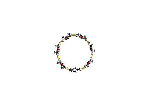 C1C[C@H]2CC[C@@H]1CSSC[C@@H]1CC[C@@H](CC1)CSSC[C@@H]1CC[C@@H](CC1)CSSC[C@@H]1CC[C@@H](CC1)CSSC[C@@H]1CC[C@@H](CC1)CSSC[C@@H]1CC[C@@H](CC1)CSSC[C@@H]1CC[C@@H](CC1)CSSC2